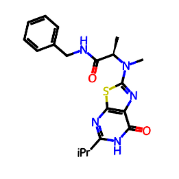 CC(C)c1nc2sc(N(C)[C@H](C)C(=O)NCc3ccccc3)nc2c(=O)[nH]1